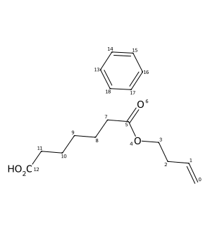 C=CCCOC(=O)CCCCCC(=O)O.c1ccccc1